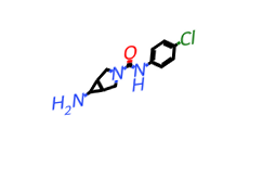 NC1C2CN(C(=O)Nc3ccc(Cl)cc3)CC12